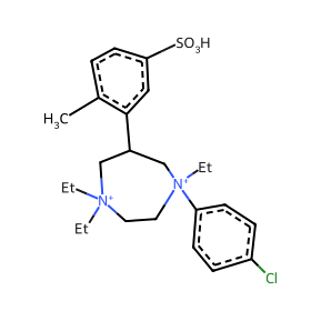 CC[N+]1(CC)CC[N+](CC)(c2ccc(Cl)cc2)CC(c2cc(S(=O)(=O)O)ccc2C)C1